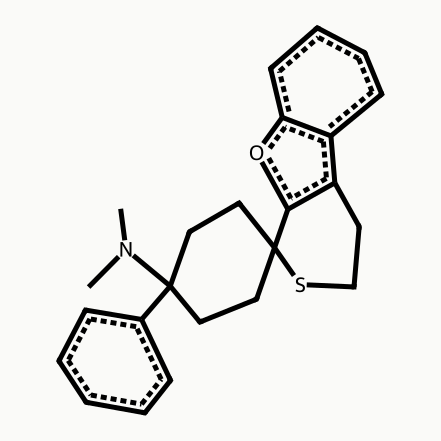 CN(C)C1(c2ccccc2)CCC2(CC1)SCCc1c2oc2ccccc12